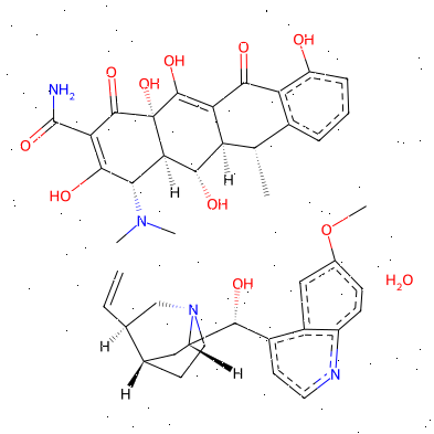 C=C[C@H]1C[N@]2CC[C@H]1C[C@H]2[C@H](O)c1ccnc2ccc(OC)cc12.C[C@H]1c2cccc(O)c2C(=O)C2=C(O)[C@]3(O)C(=O)C(C(N)=O)=C(O)[C@@H](N(C)C)[C@@H]3[C@@H](O)[C@@H]21.O